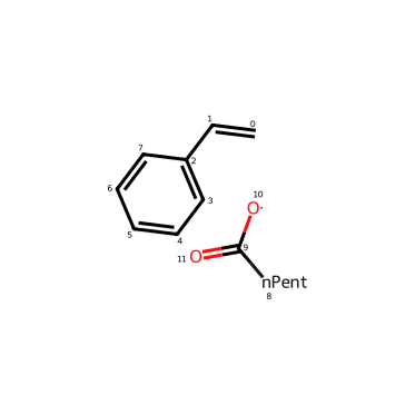 C=Cc1ccccc1.CCCCCC([O])=O